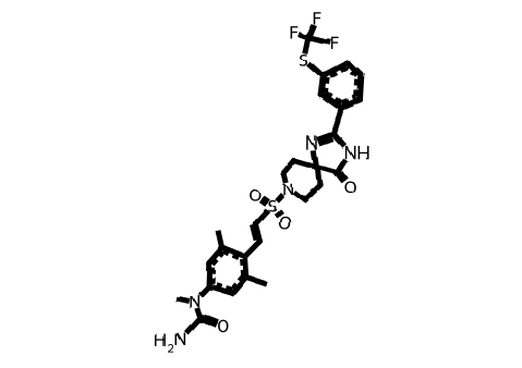 Cc1cc(N(C)C(N)=O)cc(C)c1C=CS(=O)(=O)N1CCC2(CC1)N=C(c1cccc(SC(F)(F)F)c1)NC2=O